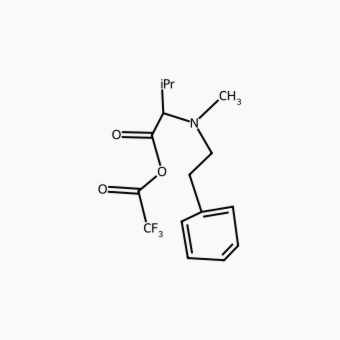 CC(C)C(C(=O)OC(=O)C(F)(F)F)N(C)CCc1ccccc1